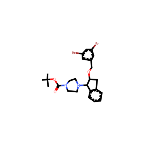 CC(C)(C)OC(=O)N1CCN(C2c3ccccc3CC2OCc2cc(Br)cc(Br)c2)CC1